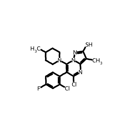 Cc1c(S)nn2c(N3CCC(C)CC3)c(-c3ccc(F)cc3Cl)c(Cl)nc12